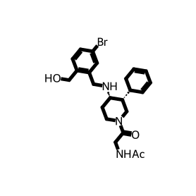 CC(=O)NCC(=O)N1CC[C@H](NCc2cc(Br)ccc2CO)[C@H](C2C=CC=CC2)C1